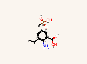 CCc1cccc(C(=O)O)c1N.CS(=O)(=O)O